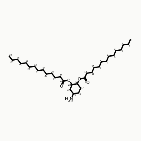 CCCCCCCCCCCCCC(=O)OC1CCC(N)CC1OC(=O)CCCCCCCCCCCCC